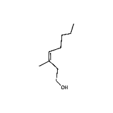 CCCCC=C(C)CCO